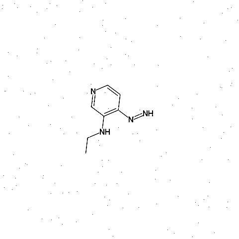 CCNc1cnccc1N=N